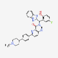 CN1CCC(c2ccc(-c3ccc4ncn(C(c5nc6ccccc6[nH]5)c5cc(F)ccc5O)c(=O)c4n3)cc2)CC1